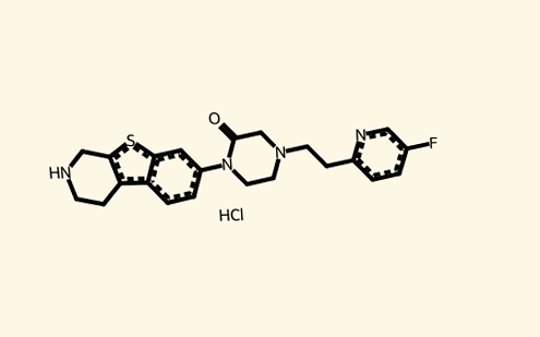 Cl.O=C1CN(CCc2ccc(F)cn2)CCN1c1ccc2c3c(sc2c1)CNCC3